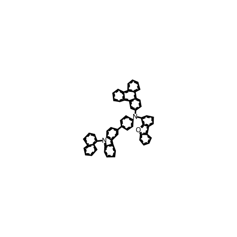 c1ccc2c(-n3c4ccccc4c4cc(-c5ccc(N(c6ccc7c8ccccc8c8ccccc8c7c6)c6cccc7c6oc6ccccc67)cc5)ccc43)cccc2c1